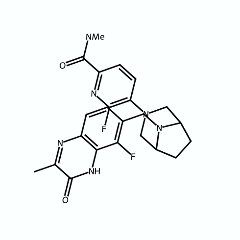 CNC(=O)c1ccc(N2CC3CCC(C2)N3Cc2ccc3nc(C)c(=O)[nH]c3c2F)c(F)n1